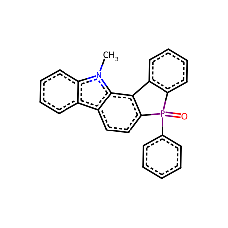 Cn1c2ccccc2c2ccc3c(c21)-c1ccccc1P3(=O)c1ccccc1